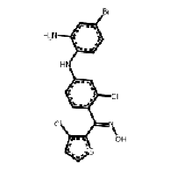 Nc1cc(Br)ccc1Nc1ccc(C(=NO)c2sccc2Cl)c(Cl)c1